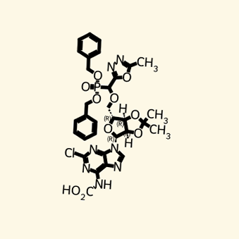 Cc1nnc(C(OC[C@H]2O[C@@H](n3cnc4c(NC(=O)O)nc(Cl)nc43)[C@@H]3OC(C)(C)O[C@@H]32)P(=O)(OCc2ccccc2)OCc2ccccc2)o1